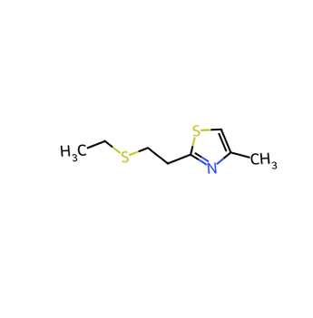 CCSCCc1nc(C)cs1